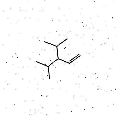 C=CC(C(C)C)C(C)C